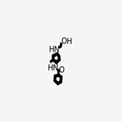 Cc1cc(NCCO)ccc1NC(=O)c1ccccc1